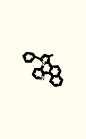 Cc1cc(-c2ccccc2)n2c3cccnc3c3c4ccccc4ccc3c12